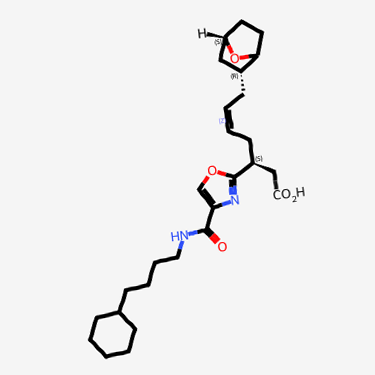 O=C(O)C[C@H](C/C=C\C[C@@H]1C[C@@H]2CCC1O2)c1nc(C(=O)NCCCCC2CCCCC2)co1